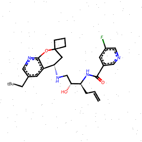 C=CC[C@H](NC(=O)c1cncc(F)c1)[C@H](O)CN[C@H]1CC2(CCC2)Oc2ncc(CC(C)(C)C)cc21